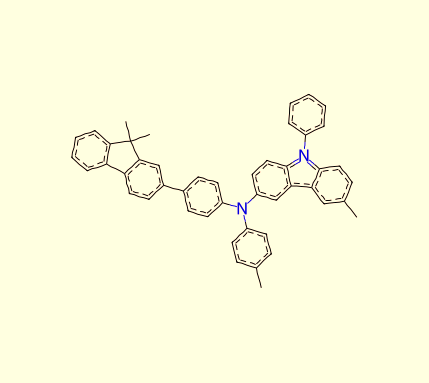 Cc1ccc(N(c2ccc(-c3ccc4c(c3)C(C)(C)c3ccccc3-4)cc2)c2ccc3c(c2)c2cc(C)ccc2n3-c2ccccc2)cc1